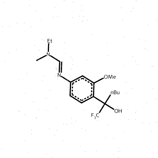 CCCCC(O)(c1ccc(/N=C/N(C)CC)cc1OC)C(F)(F)F